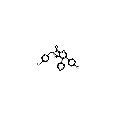 O=c1n(Cc2ccc(Br)cc2)nc2c(-c3ccncc3)c(-c3ccc(Cl)cc3)cnn12